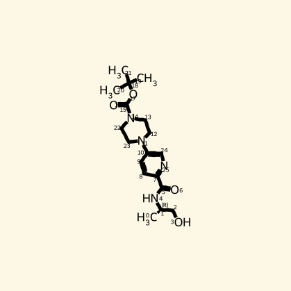 C[C@H](CO)NC(=O)c1ccc(N2CCN(C(=O)OC(C)(C)C)CC2)cn1